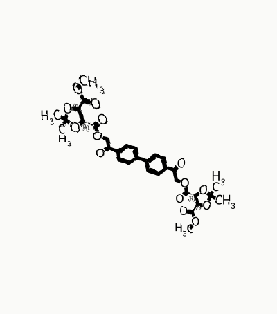 COC(=O)[C@@H]1OC(C)(C)O[C@H]1C(=O)OCC(=O)c1ccc(-c2ccc(C(=O)COC(=O)[C@@H]3OC(C)(C)O[C@H]3C(=O)OC)cc2)cc1